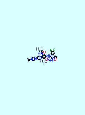 C=CC(=O)Nc1cc(Nc2cc(N3OCC[C@@H]3c3ccc(F)c(F)c3)ncn2)c(OC)cc1N1CCC(N2CCN(C3CC3)CC2)CC1